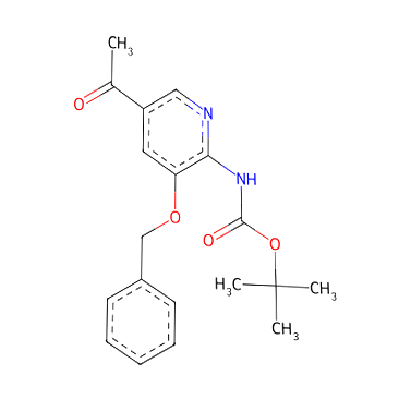 CC(=O)c1cnc(NC(=O)OC(C)(C)C)c(OCc2ccccc2)c1